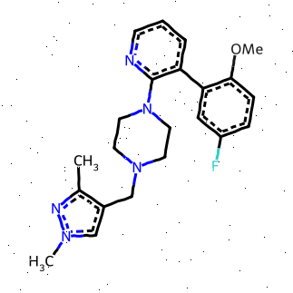 COc1ccc(F)cc1-c1cccnc1N1CCN(Cc2cn(C)nc2C)CC1